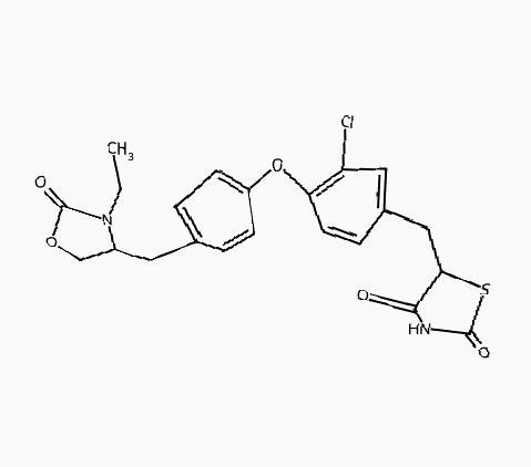 CCN1C(=O)OCC1Cc1ccc(Oc2ccc(CC3SC(=O)NC3=O)cc2Cl)cc1